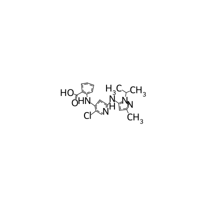 Cc1cc(Nc2cc(Nc3ccccc3C(=O)O)c(Cl)cn2)n(C(C)C)n1